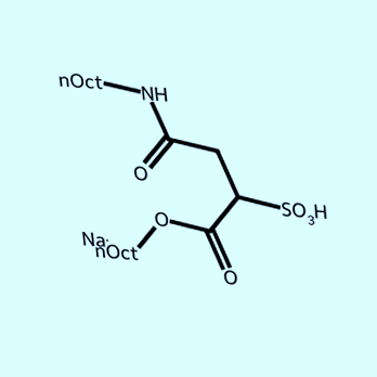 CCCCCCCCNC(=O)CC(C(=O)OCCCCCCCC)S(=O)(=O)O.[Na]